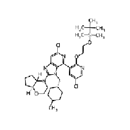 CC(C)(C)[Si](C)(C)OCCOc1ncc(Cl)cc1-c1nc(Cl)cc2nc(N3CCO[C@H]4CCC[C@@H]43)n(C[C@H]3CC[C@H](C)CC3)c12